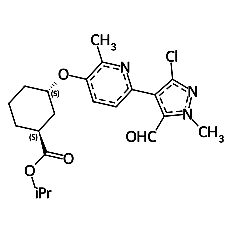 Cc1nc(-c2c(Cl)nn(C)c2C=O)ccc1O[C@H]1CCC[C@H](C(=O)OC(C)C)C1